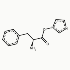 N[C@@H](Cc1ccccc1)C(=O)On1ccnc1